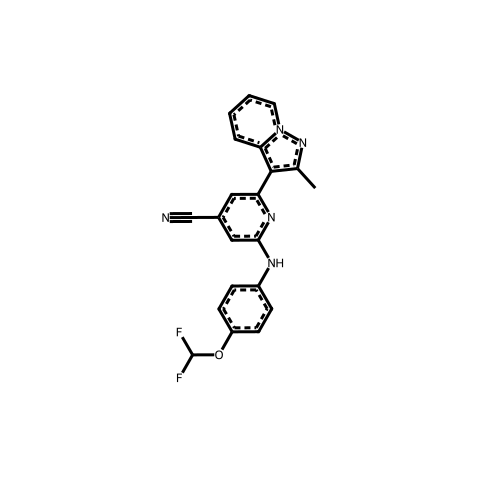 Cc1nn2ccccc2c1-c1cc(C#N)cc(Nc2ccc(OC(F)F)cc2)n1